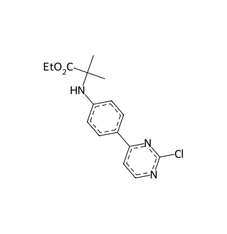 CCOC(=O)C(C)(C)Nc1ccc(-c2ccnc(Cl)n2)cc1